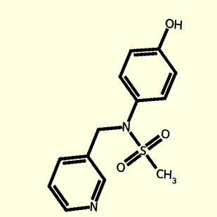 CS(=O)(=O)N(Cc1cccnc1)c1ccc(O)cc1